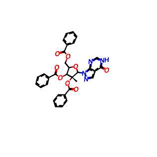 C[C@@]1(OC(=O)c2ccccc2)C(OC(=O)c2ccccc2)C(COC(=O)c2ccccc2)OC1n1ncc2c(=O)[nH]cnc21